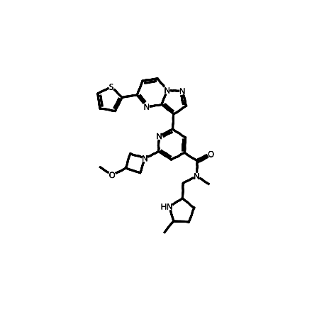 COC1CN(c2cc(C(=O)N(C)CC3CCC(C)N3)cc(-c3cnn4ccc(-c5cccs5)nc34)n2)C1